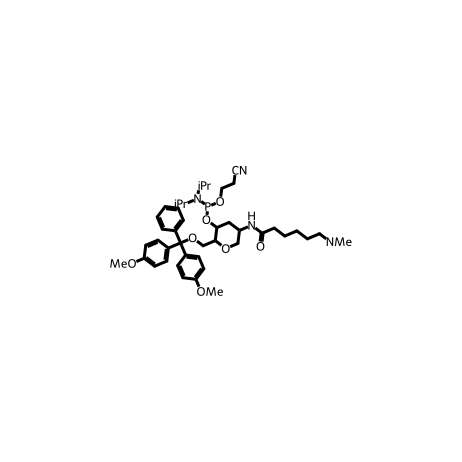 CNCCCCCC(=O)NC1COC(COC(c2ccccc2)(c2ccc(OC)cc2)c2ccc(OC)cc2)C(OP(OCCC#N)N(C(C)C)C(C)C)C1